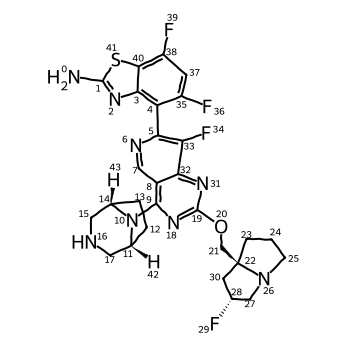 Nc1nc2c(-c3ncc4c(N5[C@@H]6CC[C@H]5CNC6)nc(OC[C@@]56CCCN5C[C@H](F)C6)nc4c3F)c(F)cc(F)c2s1